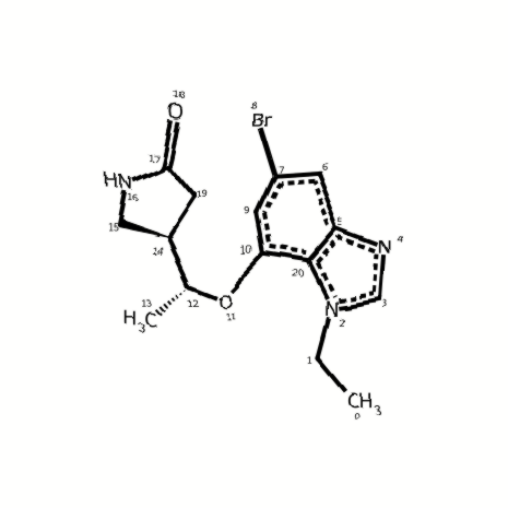 CCn1cnc2cc(Br)cc(O[C@H](C)[C@H]3CNC(=O)C3)c21